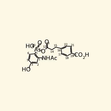 CC(=O)Nc1cc(O)ccc1[As](=O)(O)OC(=O)CCc1ccc(C(=O)O)cc1